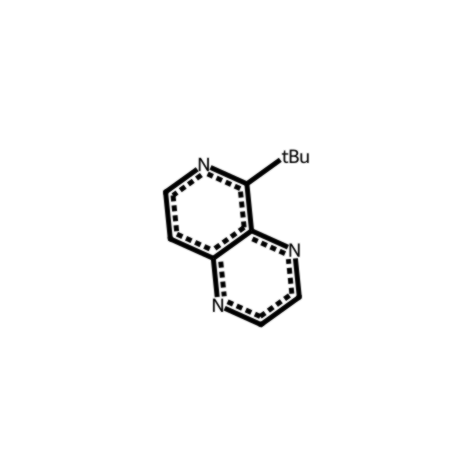 CC(C)(C)c1nccc2nccnc12